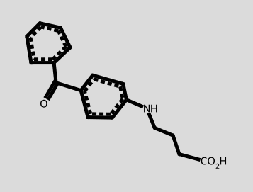 O=C(O)CCCNc1ccc(C(=O)c2ccccc2)cc1